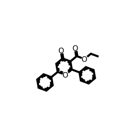 CCOC(=O)c1c(-c2ccccc2)oc(-c2ccccc2)cc1=O